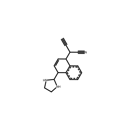 C#CC(C#N)C1C=CC(C2NCCN2)c2ccccc21